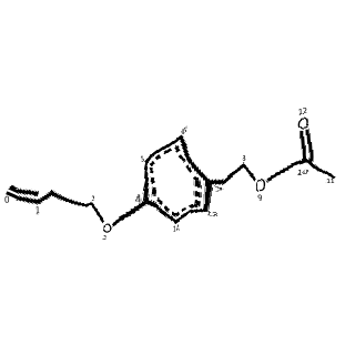 C=CCOc1ccc(COC(C)=O)cc1